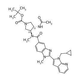 CC(=O)N[C@H]1CN(C(=O)OC(C)(C)C)C[C@@H]1N(C)C(=O)c1ccc2c(c1)nc(-c1cc3cccnc3n1CC1CC1)n2C